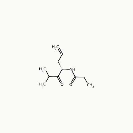 C=CC[C@H](NC(=O)CC)C(=O)C(C)C